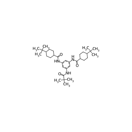 CC(C)(C)C(=O)Nc1cc(NC(=O)C2CCC(C(C)(C)C)CC2)cc(NC(=O)C2CCC(C(C)(C)C)CC2)c1